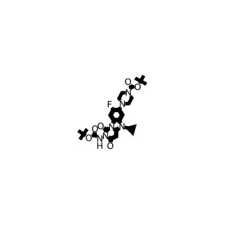 CC(C)(C)OC(=O)Nn1c(=O)cc2n(C3CC3)c3cc(N4CCN(C(=O)OC(C)(C)C)CC4)c(F)cc3n2c1=O